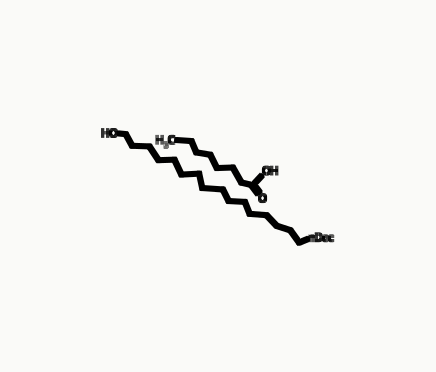 CCCCCCCC(=O)O.CCCCCCCCCCCCCCCCCCCCCCCCCCO